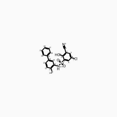 N#Cc1cc(Cl)cc(S(=O)(=O)Nc2cc(-c3ccccc3)ccc2F)c1O